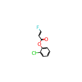 O=C(C=CF)Oc1ccccc1Cl